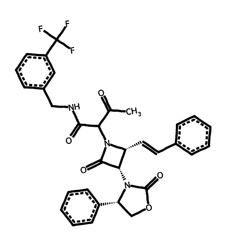 CC(=O)C(C(=O)NCc1cccc(C(F)(F)F)c1)N1C(=O)[C@@H](N2C(=O)OC[C@@H]2c2ccccc2)[C@H]1/C=C/c1ccccc1